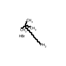 Br.CCCCC(CCCC)(CCCC)CCCCCCCCCCCCCCCP